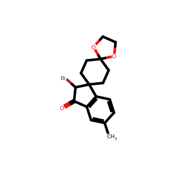 Cc1ccc2c(c1)C(=O)C(Br)C21CCC2(CC1)OCCO2